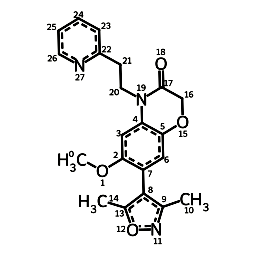 COc1cc2c(cc1-c1c(C)noc1C)OCC(=O)N2CCc1ccccn1